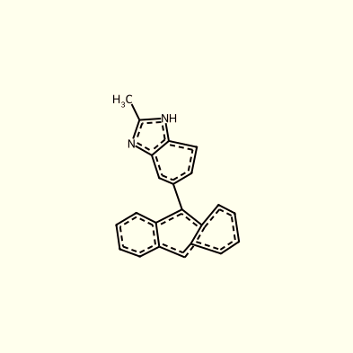 Cc1nc2cc(-c3c4ccccc4cc4ccccc34)ccc2[nH]1